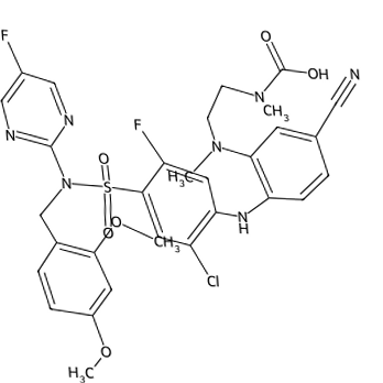 COc1ccc(CN(c2ncc(F)cn2)S(=O)(=O)c2cc(Cl)c(Nc3ccc(C#N)cc3N(C)CCN(C)C(=O)O)cc2F)c(OC)c1